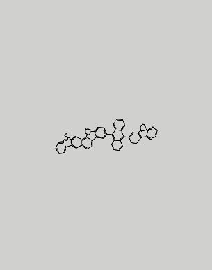 C1=C(c2c3ccccc3c(-c3ccc4oc5c6cc7sc8ccccc8c7cc6ccc5c4c3)c3ccccc23)CCc2c1oc1ccccc21